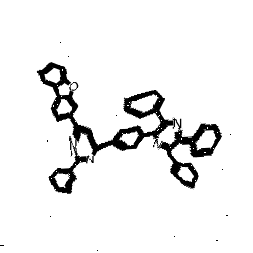 C1=CC(c2nc(-c3ccccc3)c(-c3ccc(-c4cc(-c5ccc6c(c5)oc5ccccc56)nc(-c5ccccc5)n4)cc3)nc2C2=CCCC=C2)=CCC1